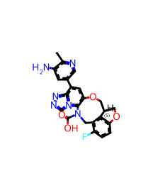 Cc1ncc(-c2cc3c(n4cnnc24)N(C(=O)O)Cc2c(F)ccc4c2[C@@H](CO4)CO3)cc1N